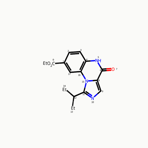 CCOC(=O)c1ccc2[nH]c(=O)c3cnc(C(CC)CC)n3c2c1